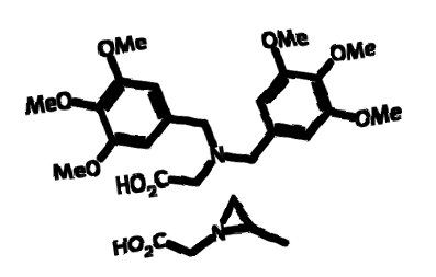 CC1CN1CC(=O)O.COc1cc(CN(CC(=O)O)Cc2cc(OC)c(OC)c(OC)c2)cc(OC)c1OC